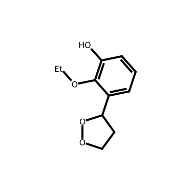 CCOc1c(O)cccc1C1CCOO1